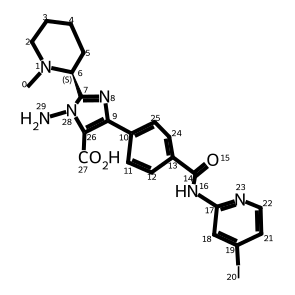 CN1CCCC[C@H]1c1nc(-c2ccc(C(=O)Nc3cc(I)ccn3)cc2)c(C(=O)O)n1N